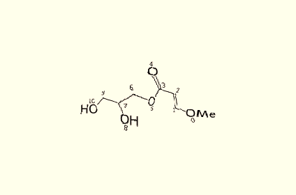 COC=CC(=O)OCC(O)CO